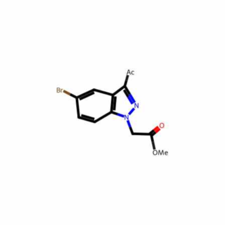 COC(=O)Cn1nc(C(C)=O)c2cc(Br)ccc21